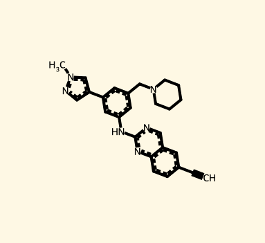 C#Cc1ccc2nc(Nc3cc(CN4CCCCC4)cc(-c4cnn(C)c4)c3)ncc2c1